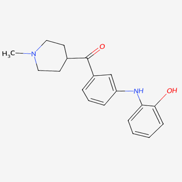 CN1CCC(C(=O)c2cccc(Nc3ccccc3O)c2)CC1